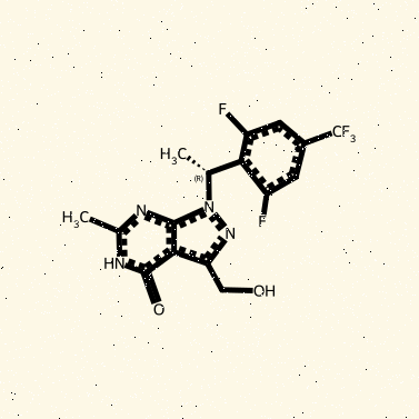 Cc1nc2c(c(CO)nn2[C@H](C)c2c(F)cc(C(F)(F)F)cc2F)c(=O)[nH]1